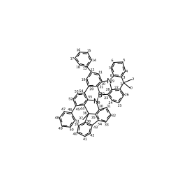 CC1(C)c2ccccc2N2c3cc(-c4ccccc4)cc4c3B(c3cccc1c32)N1c2cccc3c2C(C)(c2ccccc2-3)c2c(-c3ccccc3)ccc-4c21